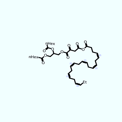 CC/C=C\C/C=C\C/C=C\C/C=C\C/C=C\C/C=C\CCC(=O)OC(=O)CC(=O)C(=O)OCC(COC(=O)CCCCCC)OC(=O)CCCCCC